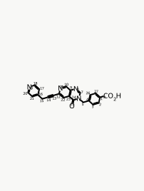 O=C(O)c1ccc(Cn2cnc3cnc(C#CCc4ccncc4)cc3c2=O)cc1